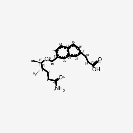 C[C@@H](CCC(N)=O)[C@@H](C)OCc1ccc2ccc(CCC(=O)O)cc2c1